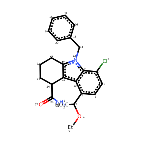 CCOC(C(=O)O)c1ccc(Cl)c2c1c1c(n2Cc2ccccc2)CCCC1C(N)=O